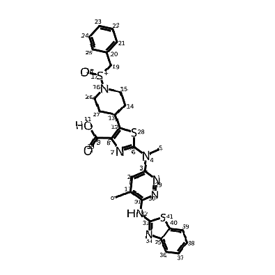 Cc1cc(N(C)c2nc(C(=O)O)c(C3CCN([S+]([O-])Cc4ccccc4)CC3)s2)nnc1Nc1nc2ccccc2s1